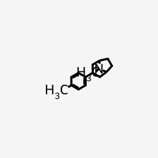 Cc1ccc(C2CC3CCC(C2)N3C)cc1